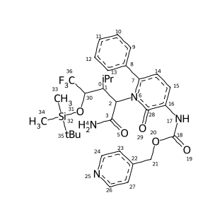 CC(C)C(C(C(N)=O)n1c(-c2ccccc2)ccc(NC(=O)OCc2ccncc2)c1=O)C(O[Si](C)(C)C(C)(C)C)C(F)(F)F